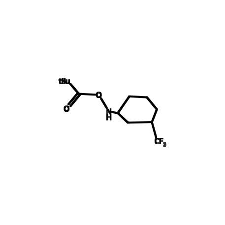 CC(C)(C)C(=O)ONC1CCCC(C(F)(F)F)C1